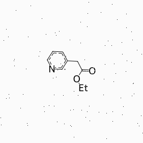 CCOC(=O)Cc1[c]nccc1